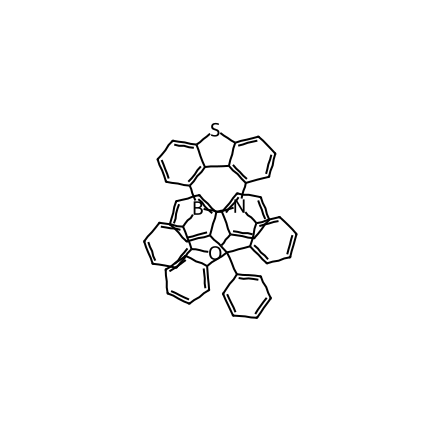 c1ccc(C2(c3ccccc3)c3ccccc3N(c3cccc4sc5cccc(B6c7ccccc7Oc7ccccc76)c5c34)c3ccccc32)cc1